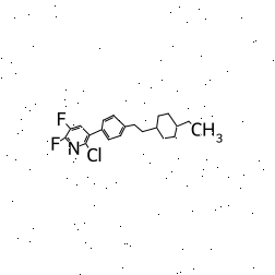 CCC1CCC(CCc2ccc(-c3cc(F)c(F)nc3Cl)cc2)CC1